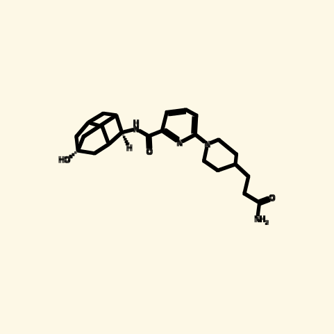 NC(=O)CCC1CCN(c2cccc(C(=O)N[C@H]3C4CC5CC3C[C@](O)(C5)C4)n2)CC1